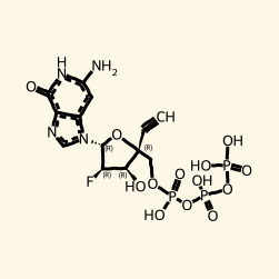 C#C[C@]1(COP(=O)(O)OP(=O)(O)OP(=O)(O)O)O[C@@H](n2cnc3c(=O)[nH]c(N)cc32)[C@H](F)[C@@H]1O